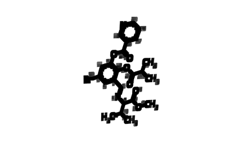 COC(=O)C(N=Cc1cc(Br)cc(OC(=O)c2cccnc2)c1OC(=O)C(C)C)C(C)C